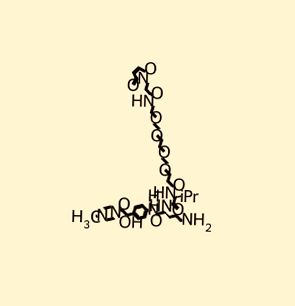 CC(C)[C@H](NC(=O)CCOCCOCCOCCOCCNC(=O)CCN1C(=O)C=CC1=O)C(=O)N[C@@H](CCCN)C(=O)Nc1ccc(C(O)C(=O)N2CCN(C)CC2)cc1